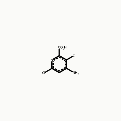 Nc1cc(Cl)nc(C(=O)O)c1Cl